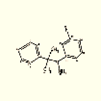 CC(C)(c1ccccn1)C(N)c1cccc(F)c1